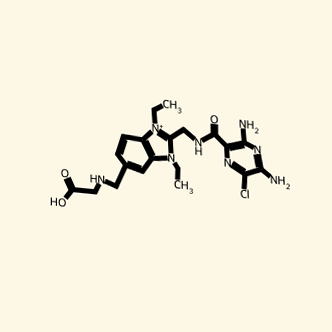 CCn1c(CNC(=O)c2nc(Cl)c(N)nc2N)[n+](CC)c2ccc(CNCC(=O)O)cc21